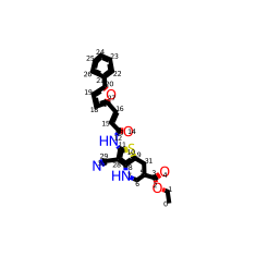 CCOC(=O)C1CNc2c(sc(NC(=O)C=Cc3ccc(-c4ccccc4)o3)c2C#N)C1